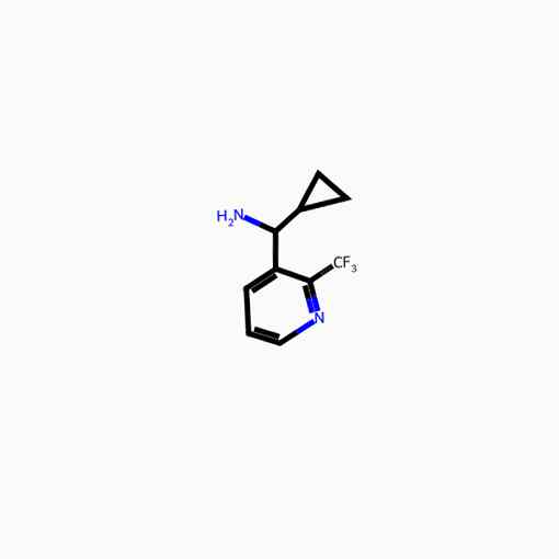 NC(c1cccnc1C(F)(F)F)C1CC1